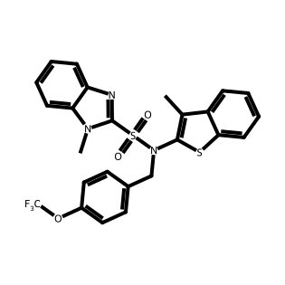 Cc1c(N(Cc2ccc(OC(F)(F)F)cc2)S(=O)(=O)c2nc3ccccc3n2C)sc2ccccc12